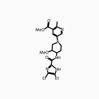 CCc1[nH]c(C(=O)NC2CCN(c3cnc(C)c(C(=O)OC)c3)CC2OC)nc1Cl